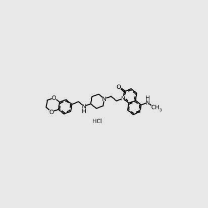 CNc1cccc2c1ccc(=O)n2CCN1CCC(NCc2ccc3c(c2)OCCO3)CC1.Cl